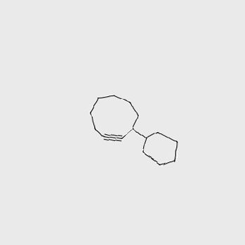 C1#CC(C2CCCCC2)CCCCCC1